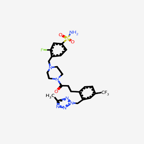 Cc1nnn(Cc2cc(C(F)(F)F)ccc2CCC(=O)N2CCN(Cc3ccc(S(N)(=O)=O)cc3F)CC2)n1